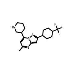 Cc1cc(C2CCCNC2)n2nc(C3CCC(C(F)(F)F)CC3)cc2n1